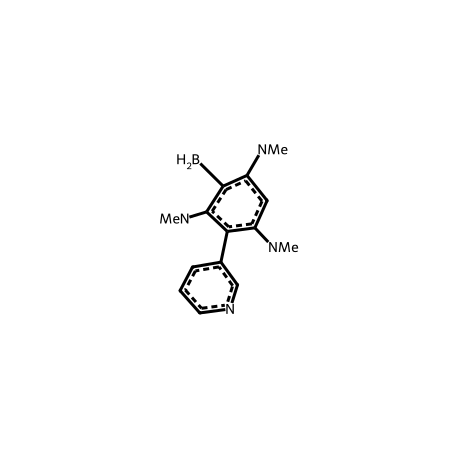 Bc1c(NC)cc(NC)c(-c2cccnc2)c1NC